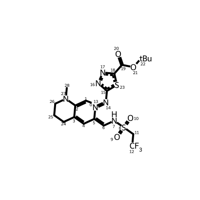 C\C=C1/C(=C\C(=C\NS(=O)(=O)CC(F)(F)F)N=Nc2nnc(C(=O)OC(C)(C)C)s2)CCCN1C